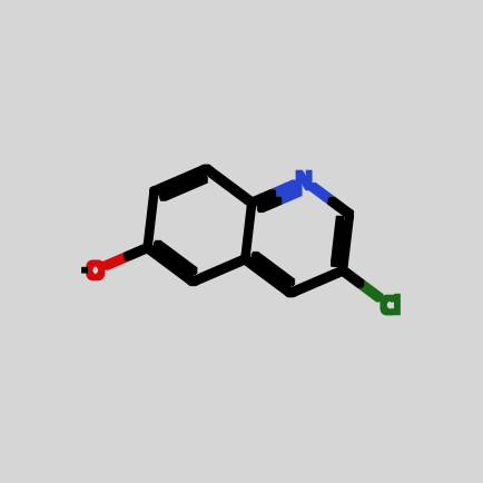 [O]c1ccc2ncc(Cl)cc2c1